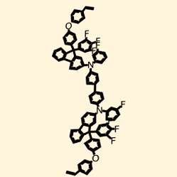 C=Cc1ccc(Oc2ccc(C3(c4cc(F)c(F)c(F)c4)c4ccccc4-c4ccc(N(c5ccc(-c6ccc(N(c7cccc(F)c7)c7ccc8c(c7)C(c7ccc(Oc9ccc(C=C)cc9)cc7)(c7cc(F)c(F)c(F)c7)c7ccccc7-8)cc6)cc5)c5cccc(F)c5)cc43)cc2)cc1